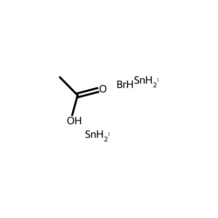 Br.CC(=O)O.[SnH2].[SnH2]